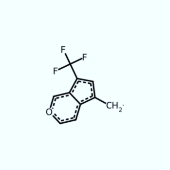 [CH2]c1cc(C(F)(F)F)c2coccc1-2